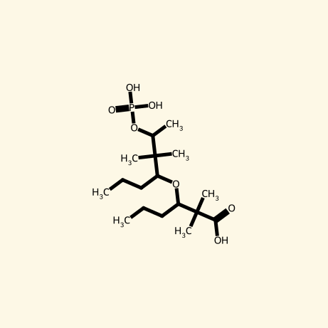 CCCC(OC(CCC)C(C)(C)C(C)OP(=O)(O)O)C(C)(C)C(=O)O